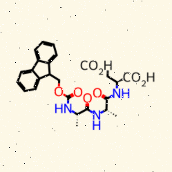 C[C@H](NC(=O)OCC1c2ccccc2-c2ccccc21)C(=O)N[C@@H](C)C(=O)N[C@@H](CC(=O)O)C(=O)O